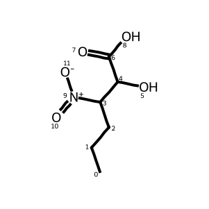 CCCC(C(O)C(=O)O)[N+](=O)[O-]